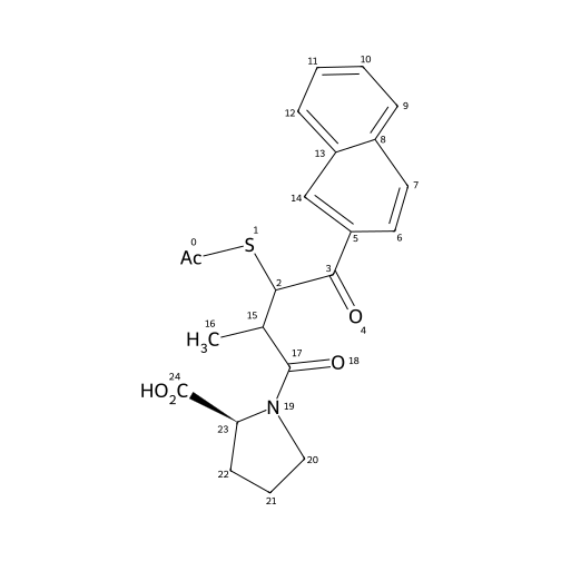 CC(=O)SC(C(=O)c1ccc2ccccc2c1)C(C)C(=O)N1CCC[C@H]1C(=O)O